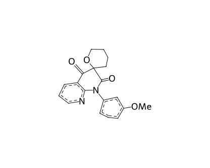 COc1cccc(N2C(=O)C3(CCCCO3)C(=O)c3cccnc32)c1